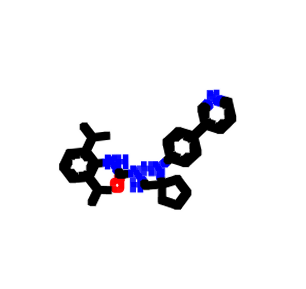 CC(C)c1cccc(C(C)C)c1NC(=O)NCC1(Nc2ccc(-c3cccnc3)cc2)CCCC1